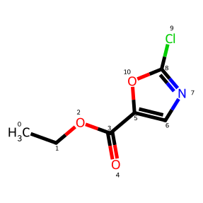 CCOC(=O)c1cnc(Cl)o1